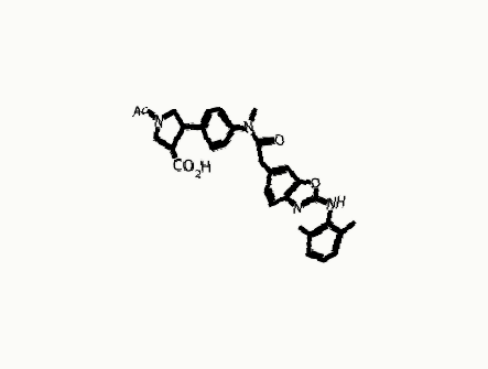 CC(=O)N1CC(C(=O)O)C(c2ccc(N(C)C(=O)Cc3ccc4nc(Nc5c(C)cccc5C)oc4c3)cc2)C1